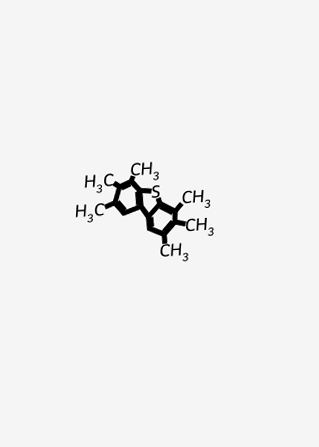 Cc1cc2c(sc3c(C)c(C)c(C)cc32)c(C)c1C